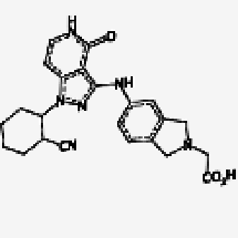 N#CC1CCCCC1n1nc(Nc2ccc3c(c2)CN(CC(=O)O)C3)c2c(=O)[nH]ccc21